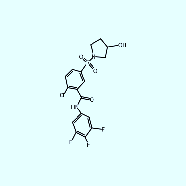 O=C(Nc1cc(F)c(F)c(F)c1)c1cc(S(=O)(=O)N2CCC(O)C2)ccc1Cl